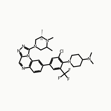 CC1CN(c2nnc3cnc4ccc(-c5cc(Cl)c(N6CCC(N(C)C)CC6)c(C(F)(F)F)c5)cc4n23)C[C@H](C)N1C